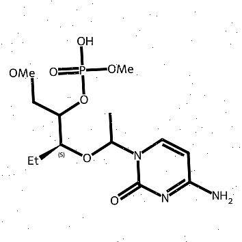 CC[C@H](OC(C)n1ccc(N)nc1=O)C(COC)OP(=O)(O)OC